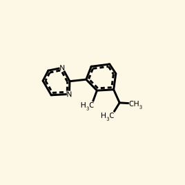 Cc1c(-c2ncccn2)cccc1C(C)C